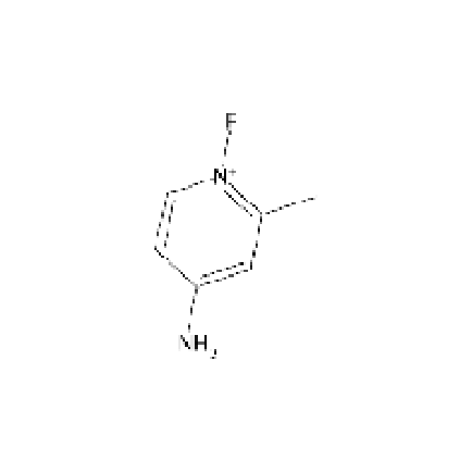 Cc1cc(N)cc[n+]1F